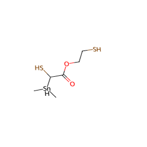 [CH3][SnH]([CH3])[CH](S)C(=O)OCCS